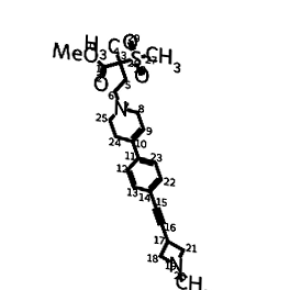 COC(=O)C(C)(CCN1CC=C(c2ccc(C#CC3CN(C)C3)cc2)CC1)S(C)(=O)=O